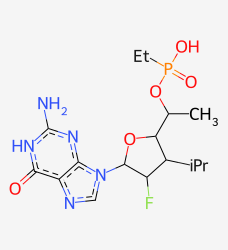 CCP(=O)(O)OC(C)C1OC(n2cnc3c(=O)[nH]c(N)nc32)C(F)C1C(C)C